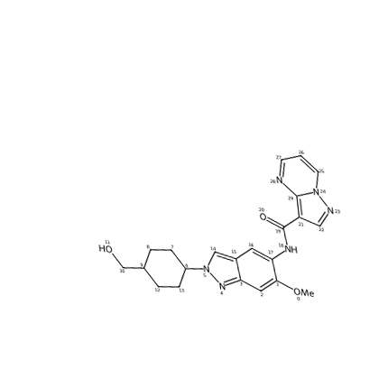 COc1cc2nn(C3CCC(CO)CC3)cc2cc1NC(=O)c1cnn2cccnc12